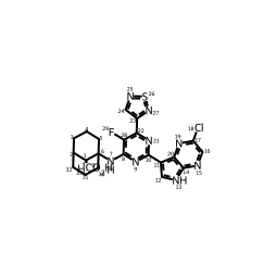 O=C(O)[C@H]1C2CCCC1(Nc1nc(-c3c[nH]c4ncc(Cl)nc34)nc(-c3cnsn3)c1F)CCC2